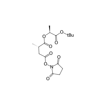 C[C@H](OC(=O)[C@@H](C)CC(=O)ON1C(=O)CCC1=O)C(=O)OC(C)(C)C